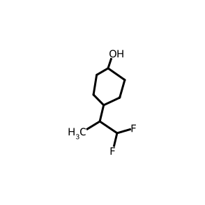 CC(C(F)F)C1CCC(O)CC1